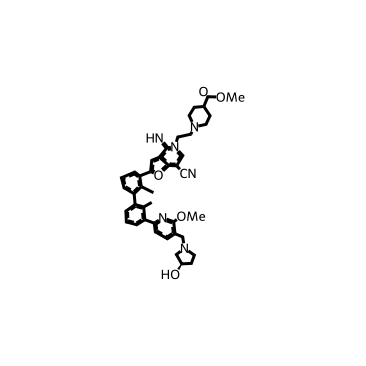 COC(=O)C1CCN(CCn2cc(C#N)c3oc(-c4cccc(-c5cccc(-c6ccc(CN7CC[C@@H](O)C7)c(OC)n6)c5C)c4C)cc3c2=N)CC1